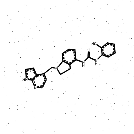 N#Cc1ccccc1NC(=O)Nc1cccc2c1CCN2Cc1ccnc2[nH]ccc12